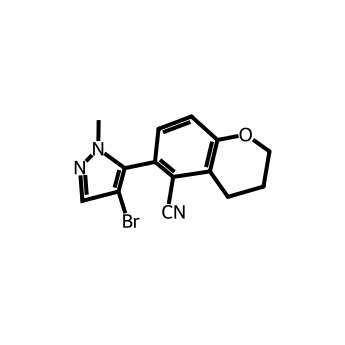 Cn1ncc(Br)c1-c1ccc2c(c1C#N)CCCO2